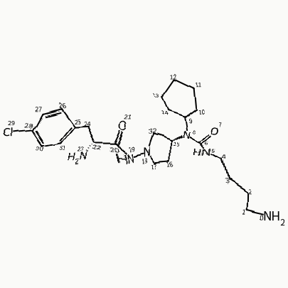 NCCCCNC(=O)N(C1CCCCC1)[C@H]1CCN(NC(=O)[C@H](N)Cc2ccc(Cl)cc2)C1